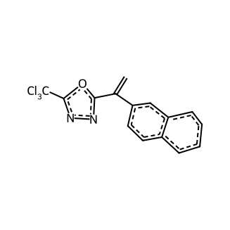 C=C(c1ccc2ccccc2c1)c1nnc(C(Cl)(Cl)Cl)o1